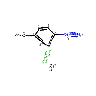 COc1ccc([N+]#N)cc1.[Cl-].[Cl-].[Zn+]